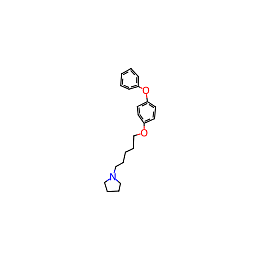 c1ccc(Oc2ccc(OCCCCCN3CCCC3)cc2)cc1